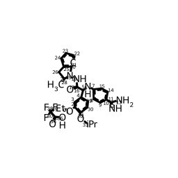 CCOc1cc(C(Nc2ccc(C(=N)N)cc2)C(=O)NN2c3ccccc3CC2C)ccc1OC(C)C.O=C(O)C(F)(F)F